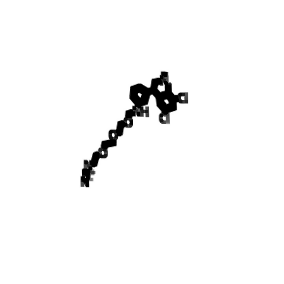 CN1Cc2c(Cl)cc(Cl)cc2C(c2cccc(NCOCCOCCOCCN=[N+]=[N-])c2)C1